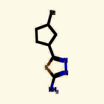 CCC1CCC(c2nnc(N)s2)C1